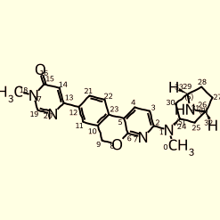 CN(c1ccc2c(n1)OCc1cc(-c3cc(=O)n(C)cn3)ccc1-2)[C@@H]1C[C@H]2CC[C@@H](C1)N2